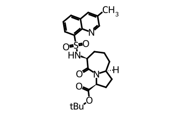 Cc1cnc2c(S(=O)(=O)N[C@H]3CCC[C@H]4CC[C@@H](C(=O)OC(C)(C)C)N4C3=O)cccc2c1